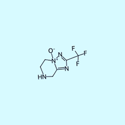 [O-][N+]12CCNCC1=NC(C(F)(F)F)=N2